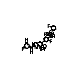 CC(C)n1c(=O)c(-c2cc(F)c(NS(=O)(=O)Cc3ccccc3F)c(F)c2)cc2cnc(N[C@@H]3CNC[C@@H](F)C3)nc21